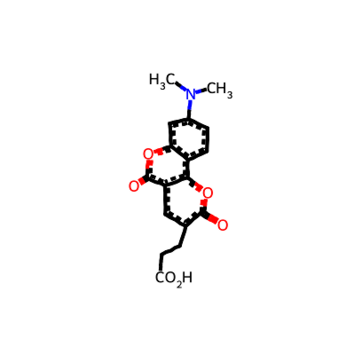 CN(C)c1ccc2c(c1)oc(=O)c1cc(CCC(=O)O)c(=O)oc12